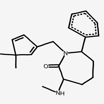 CNC1CCCC(c2ccccc2)N(CC2=CC(C)(C)C=C2)C1=O